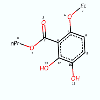 CCCOC(=O)c1c(OCC)ccc(O)c1O